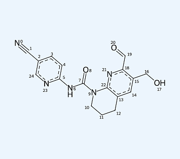 N#Cc1ccc(NC(=O)N2CCCc3cc(CO)c(C=O)nc32)nc1